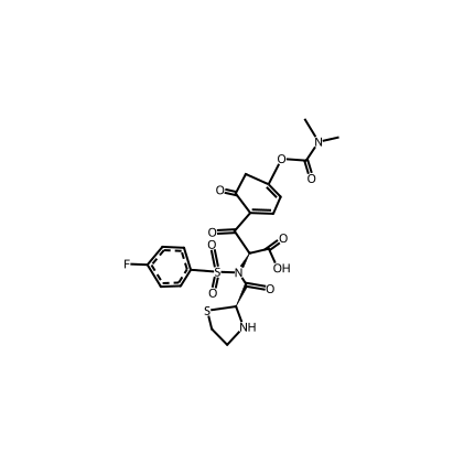 CN(C)C(=O)OC1=CC=C(C(=O)[C@@H](C(=O)O)N(C(=O)[C@H]2NCCS2)S(=O)(=O)c2ccc(F)cc2)C(=O)C1